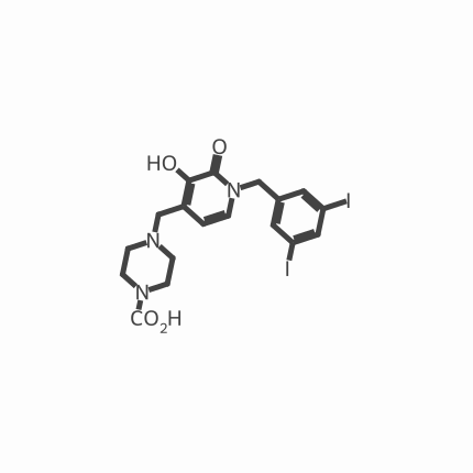 O=C(O)N1CCN(Cc2ccn(Cc3cc(I)cc(I)c3)c(=O)c2O)CC1